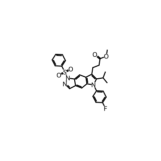 COC(=O)CCc1c(C(C)C)n(-c2ccc(F)cc2)c2cc3cnn(S(=O)(=O)c4ccccc4)c3cc12